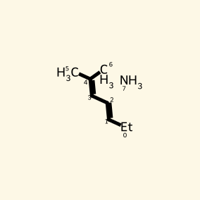 CCC=CC=C(C)C.N